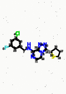 Fc1cc(Cl)cc(CNc2nccn3c([C@@H]4CCCS4)nnc23)c1